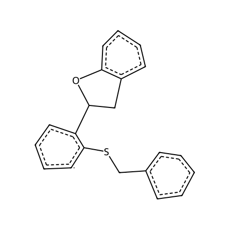 [c]1cccc(C2Cc3ccccc3O2)c1SCc1ccccc1